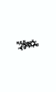 CC(NC(=O)c1cc2cc(Cl)ccc2[nH]1)C1CC1